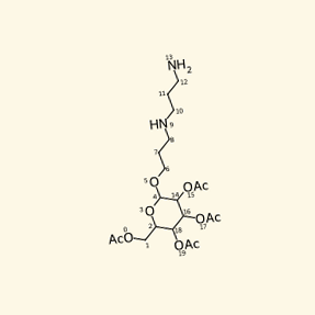 CC(=O)OCC1OC(OCCCNCCCN)C(OC(C)=O)C(OC(C)=O)C1OC(C)=O